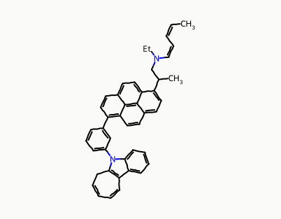 C/C=C\C=C/N(CC)CC(C)c1ccc2ccc3c(-c4cccc(-n5c6c(c7ccccc75)C=CC=CC6)c4)ccc4ccc1c2c43